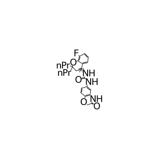 CCCC1(CCC)C[C@@H](NC(=O)Nc2ccc3c(c2)NC(=O)CO3)c2cccc(F)c2O1